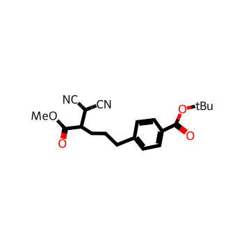 COC(=O)C(CCCc1ccc(C(=O)OC(C)(C)C)cc1)C(C#N)C#N